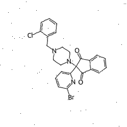 O=C1c2ccccc2C(=O)C1(c1cccc(Br)n1)N1CCN(Cc2ccccc2Cl)CC1